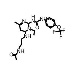 CCN1C(NCCCNC(C)=O)CC(C)=NC1NC(=O)Nc1ccc(OC(F)(F)F)cc1